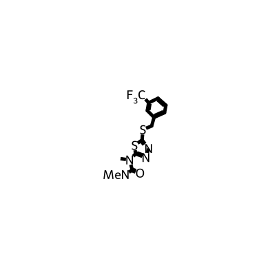 CNC(=O)N(C)c1nnc(SCc2cccc(C(F)(F)F)c2)s1